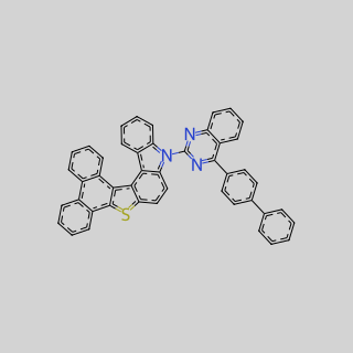 c1ccc(-c2ccc(-c3nc(-n4c5ccccc5c5c6c(ccc54)sc4c5ccccc5c5ccccc5c46)nc4ccccc34)cc2)cc1